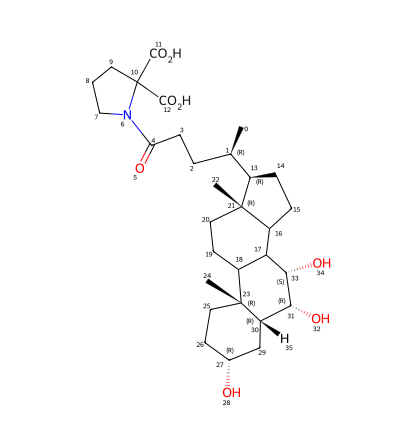 C[C@H](CCC(=O)N1CCCC1(C(=O)O)C(=O)O)[C@H]1CCC2C3C(CC[C@@]21C)[C@@]1(C)CC[C@@H](O)C[C@H]1[C@@H](O)[C@H]3O